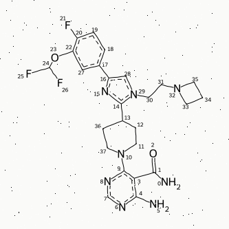 NC(=O)c1c(N)ncnc1N1CCC(c2nc(-c3ccc(F)c(OC(F)F)c3)cn2CCN2CCC2)CC1